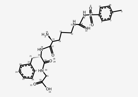 Cc1ccc(S(=O)(=O)NC(=N)NCCC[C@H](N)C(=O)N[C@@H](Cc2ccccc2)C(=O)NCC(=O)O)cc1